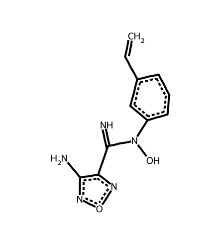 C=Cc1cccc(N(O)C(=N)c2nonc2N)c1